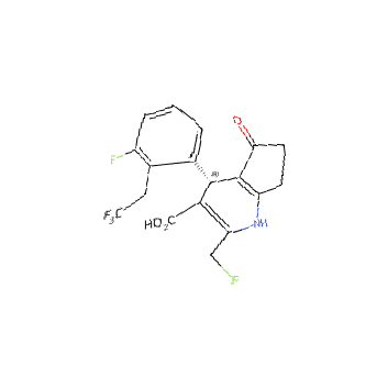 O=C(O)C1=C(CF)NC2=C(C(=O)CC2)[C@H]1c1cccc(F)c1CC(F)(F)F